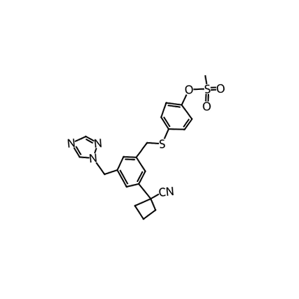 CS(=O)(=O)Oc1ccc(SCc2cc(Cn3cncn3)cc(C3(C#N)CCC3)c2)cc1